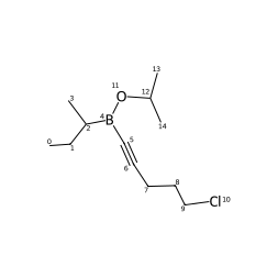 CCC(C)B(C#CCCCCl)OC(C)C